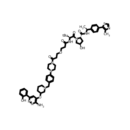 Cc1ncsc1-c1ccc([C@H](C)NC(=O)[C@@H]2C[C@@H](O)CN2C(=O)[C@@H](NC(=O)CCOCCC(=O)N2CCN(c3ccc(CN4CCCC(Oc5cc(-c6ccccc6O)nnc5N)C4)cc3)CC2)C(C)(C)C)cc1